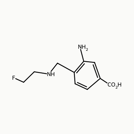 Nc1cc(C(=O)O)ccc1CNCCF